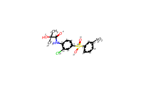 C[C@@](O)(C(=O)Nc1ccc(S(=O)(=O)c2cccc([N+](=O)[O-])c2)cc1Cl)C(F)(F)F